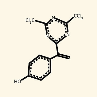 C=C(c1ccc(O)cc1)c1nc(C(Cl)(Cl)Cl)nc(C(Cl)(Cl)Cl)n1